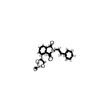 O=C1c2cccc([C@H]3CO[S@](=O)O3)c2C(=O)N1CCc1ccccc1